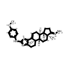 C[C@]12CCc3nc(Nc4ccc(OC(F)(F)F)cc4)sc3C1=CC[C@@H]1[C@@H]2CC[C@]2(C)/C(=N/N)CC[C@@H]12